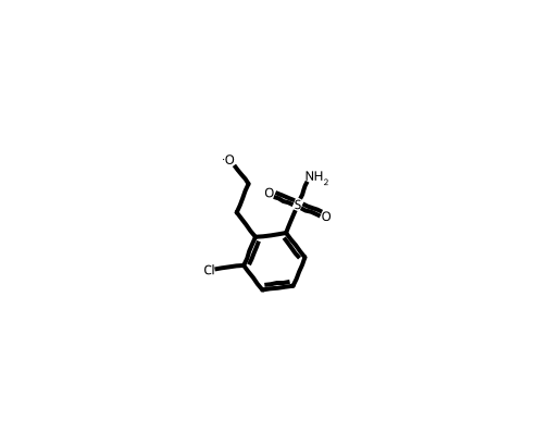 NS(=O)(=O)c1cccc(Cl)c1CC[O]